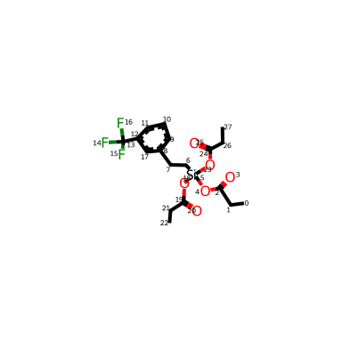 CCC(=O)O[Si](CCc1cccc(C(F)(F)F)c1)(OC(=O)CC)OC(=O)CC